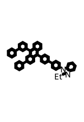 CCc1nc2ccccc2n1-c1ccc(-c2ccc(-c3c4ccccc4c(-c4cccc(-c5ccccc5)c4)c4cc(-c5ccccc5)ccc34)cc2)cc1